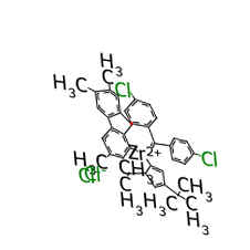 CCC1C=C(C(C)(C)C)C=[C]1[Zr+2](=[C](c1ccc(Cl)cc1)c1ccc(Cl)cc1)[c]1c(C)c(C)cc2c1Cc1cc(C)c(C)cc1-2.[Cl-].[Cl-]